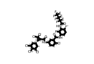 O=C(Nc1ccc(F)c(NC(=O)C(F)(F)C(F)(F)C(F)(F)F)c1F)c1cc(NC(=O)C2[C@H](c3cc(Cl)c(Cl)c(Cl)c3)C2(Cl)Cl)ccc1Cl